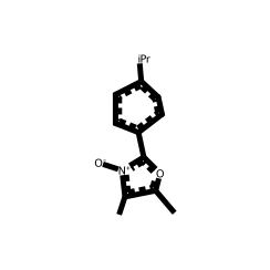 Cc1oc(-c2ccc(C(C)C)cc2)[n+]([O-])c1C